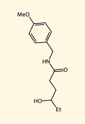 CCC(O)CCC(=O)NCc1ccc(OC)cc1